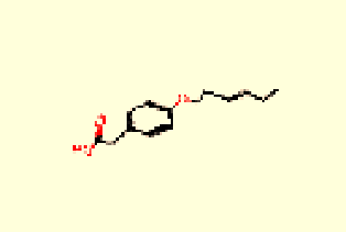 CCCCCCOc1ccc(CC(=O)O)cc1